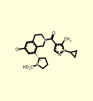 Cc1c(C(=O)N2CCc3cc(Cl)cc([C@@H]4CCCN4C(=O)O)c3C2)cnn1C1CC1